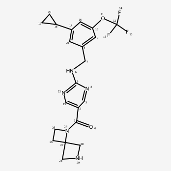 O=C(c1cnc(NCc2cc(OC(F)(F)F)cc(C3CC3)c2)nc1)N1CCC12CNC2